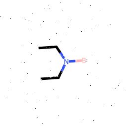 [B]N(CC)CC